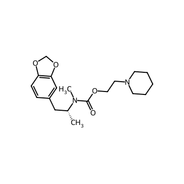 C[C@H](Cc1ccc2c(c1)OCO2)N(C)C(=O)OCCN1CCCCC1